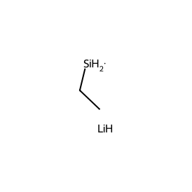 CC[SiH2].[LiH]